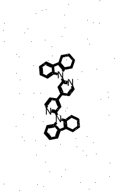 c1ccc2c(c1)c1c(n2-c2cc(-c3ccnc(-n4c5c(c6ccccc64)CCCC5)c3)ccn2)CCCC1